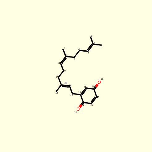 CC(C)=CCCC(C)=CCC/C(C)=C/CC1=CC(=O)C=CC1=O